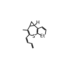 C=C/C=C\C1=C(C)C2C[C@@H]2C(/C=C\C)=C(CC)S1